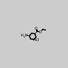 CCOC(=O)[C@H]1CCC[C@@H](N)C1.Cl